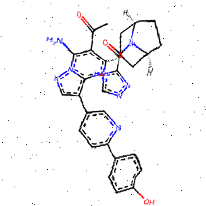 CC(=O)c1c([C@@H]2C[C@H]3CC[C@@H](C2)N3C(=O)c2nnc[nH]2)nc2c(-c3ccc(-c4ccc(O)cc4)nc3)cnn2c1N